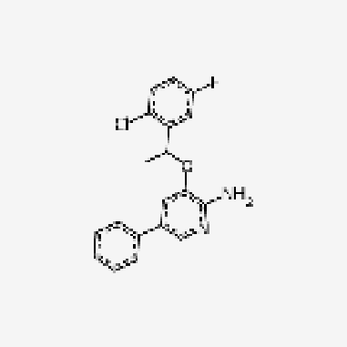 CC(Oc1cc(-c2ccccc2)cnc1N)c1cc(F)ccc1Cl